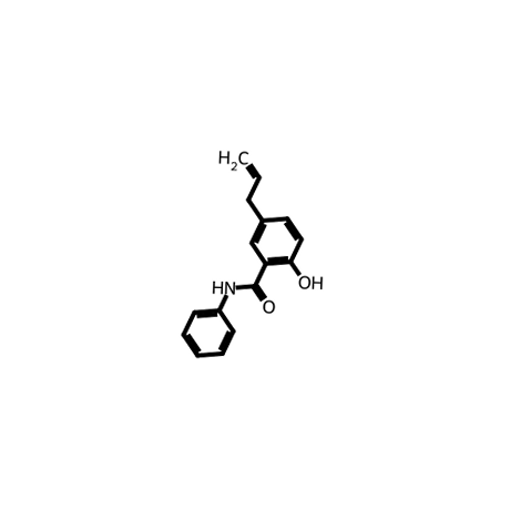 C=CCc1ccc(O)c(C(=O)Nc2ccccc2)c1